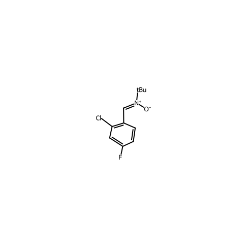 CC(C)(C)[N+]([O-])=Cc1ccc(F)cc1Cl